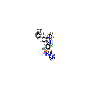 O=S(=O)(Nc1ccncn1)c1cc(Cl)c(N[C@H]2CC[C@H](c3cccc(C(F)(F)F)c3)C[C@@H]2N2CCCC2)cc1F